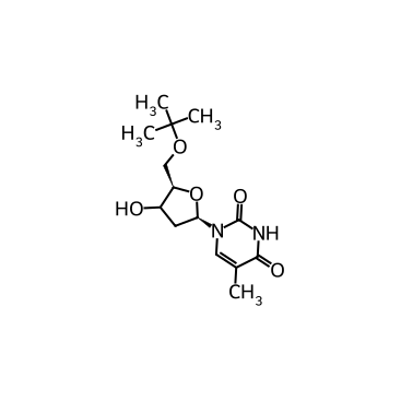 Cc1cn([C@H]2CC(O)[C@@H](COC(C)(C)C)O2)c(=O)[nH]c1=O